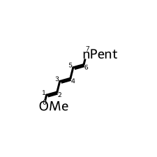 [CH2]OC=CC=CC=CCCCCC